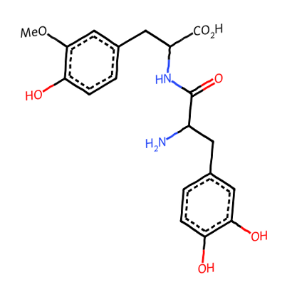 COc1cc(CC(NC(=O)C(N)Cc2ccc(O)c(O)c2)C(=O)O)ccc1O